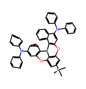 C[Si](C)(C)c1cc2c3c(c1)Oc1cc(N(c4ccccc4)c4ccccc4)c4ccccc4c1B3c1c(cc(N(c3ccccc3)c3ccccc3)c3ccccc13)O2